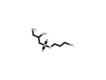 NCCCOS(=O)(=O)CC(O)CN